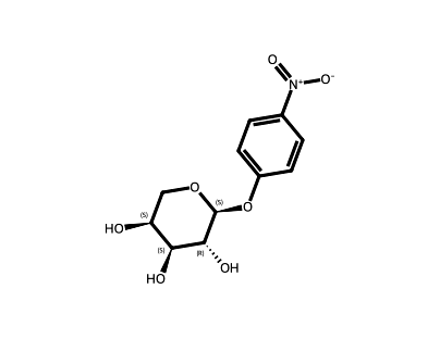 O=[N+]([O-])c1ccc(O[C@@H]2OC[C@H](O)[C@H](O)[C@H]2O)cc1